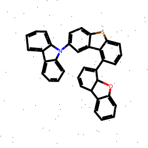 C1=CC2c3ccccc3OC2C(c2cccc3sc4ccc(-n5c6ccccc6c6ccccc65)cc4c23)=C1